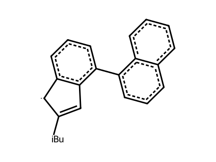 CCC(C)C1=Cc2c(cccc2-c2cccc3ccccc23)[CH]1